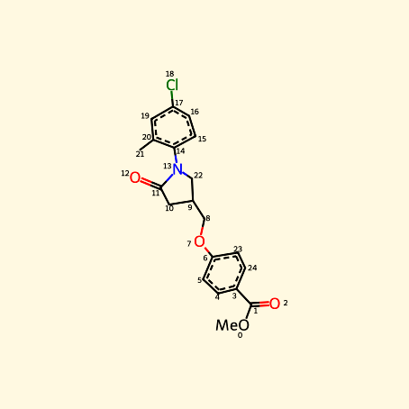 COC(=O)c1ccc(OCC2CC(=O)N(c3ccc(Cl)cc3C)C2)cc1